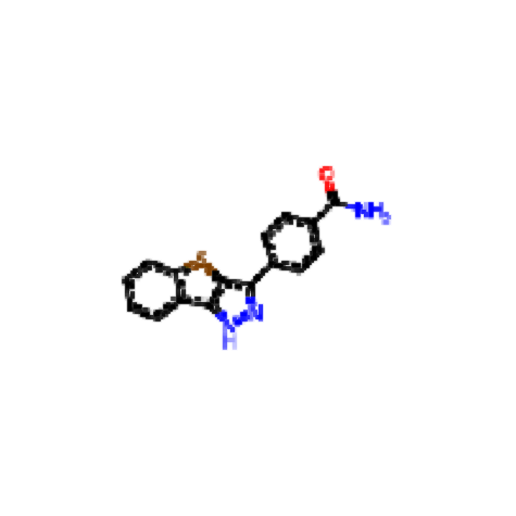 NC(=O)c1ccc(-c2n[nH]c3c2sc2ccccc23)cc1